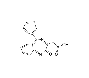 O=C(O)Cc1nc(-c2ccccc2)c2ccccc2nc1=O